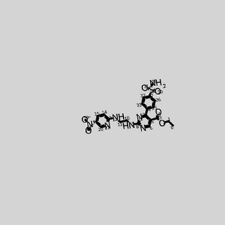 CCOC(=O)c1cnc(NCCNc2ccc([N+](=O)[O-])cn2)nc1-c1ccc(S(N)(=O)=O)cc1